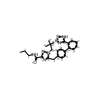 CCCNC(=O)c1nc(Cc2ccc(-c3ccccc3-c3nnn[nH]3)cc2)n(CC(C)(C)C)n1